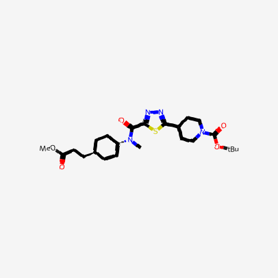 COC(=O)CC[C@H]1CC[C@H](N(C)C(=O)c2nnc(C3CCN(C(=O)OC(C)(C)C)CC3)s2)CC1